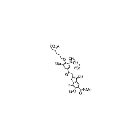 Br.CCOc1c(C(=O)NC)cc2c(c1F)CN(CC(=O)c1cc(N(C)C)c(OCCCCCC(=O)O)c(C(C)(C)C)c1)C2=N